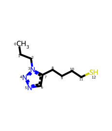 CCCn1nncc1CCCCS